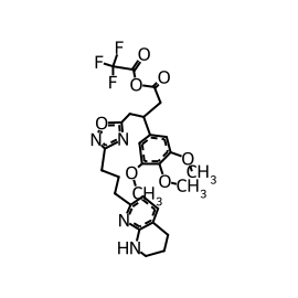 COc1cc(C(CC(=O)OC(=O)C(F)(F)F)Cc2nc(CCCc3ccc4c(n3)NCCC4)no2)cc(OC)c1OC